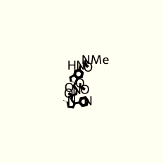 CNC(=O)Nc1ccc2c(c1)CC[C@@]21OC(=O)N(CC(=O)N2C(c3ccncc3)CC[C@@H]2C)C1=O